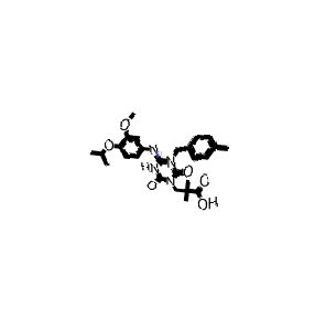 COc1cc(/N=c2\[nH]c(=O)n(CC(C)(C)C(=O)O)c(=O)n2Cc2ccc(C)cc2)ccc1OC(C)C